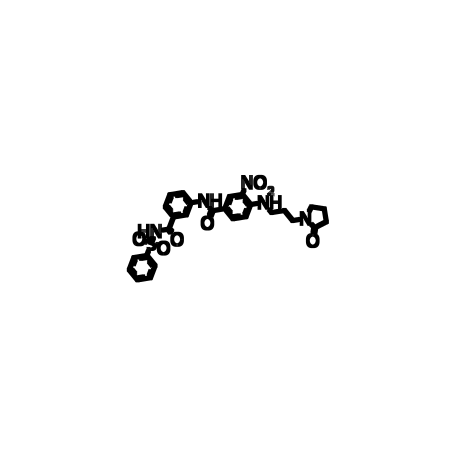 O=C(Nc1cccc(C(=O)NS(=O)(=O)c2ccccc2)c1)c1ccc(NCCCN2CCCC2=O)c([N+](=O)[O-])c1